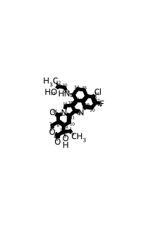 CC[C@@]1(O)C(=O)OCc2c1cc1n(c2=O)Cc2c-1nc1cc(F)c(Cl)c3c1c2[C@H](NC[C@@H](C)O)CC3